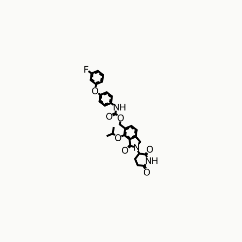 CC(C)Oc1c(COC(=O)Nc2ccc(Oc3cccc(F)c3)cc2)ccc2c1C(=O)N(C1CCC(=O)NC1=O)C2